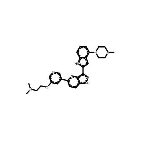 CN(C)CCOc1cncc(-c2ccc3[nH]nc(-c4cc5c(N6CCN(C)CC6)cccc5[nH]4)c3n2)c1